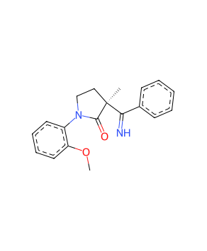 COc1ccccc1N1CC[C@@](C)(C(=N)c2ccccc2)C1=O